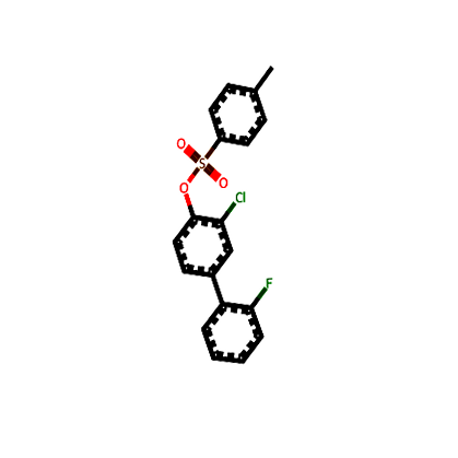 Cc1ccc(S(=O)(=O)Oc2ccc(-c3ccccc3F)cc2Cl)cc1